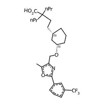 CCCC(CCC)(CC[C@@H]1CCC[C@H](OCc2nc(-c3cccc(C(F)(F)F)c3)oc2C)C1)C(=O)O